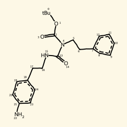 CC(C)(C)OC(=O)N(CCc1ccccc1)C(=O)NCCc1ccc(N)cc1